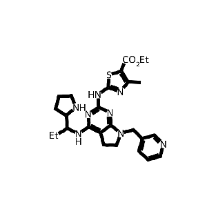 CCOC(=O)c1sc(Nc2nc(NC(CC)C3CCCN3)c3c(n2)N(Cc2cccnc2)CC3)nc1C